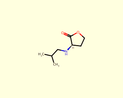 CC(C)CN[C@@H]1CCOC1=O